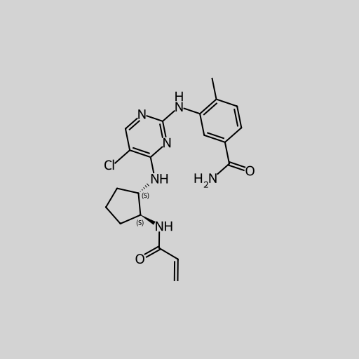 C=CC(=O)N[C@H]1CCC[C@@H]1Nc1nc(Nc2cc(C(N)=O)ccc2C)ncc1Cl